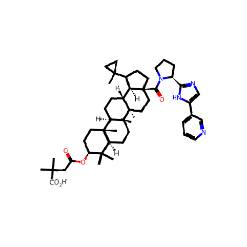 CC(C)(CC(=O)O[C@H]1CC[C@]2(C)[C@H]3CC[C@@H]4[C@H]5C(C6(C)CC6)CC[C@]5(C(=O)N5CCC[C@H]5c5ncc(-c6cccnc6)[nH]5)CC[C@@]4(C)[C@]3(C)CC[C@H]2C1(C)C)C(=O)O